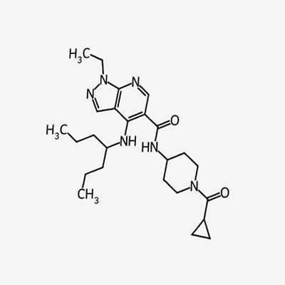 CCCC(CCC)Nc1c(C(=O)NC2CCN(C(=O)C3CC3)CC2)cnc2c1cnn2CC